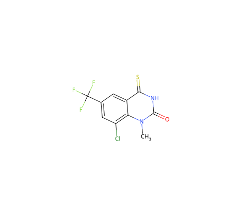 Cn1c(=O)[nH]c(=S)c2cc(C(F)(F)F)cc(Cl)c21